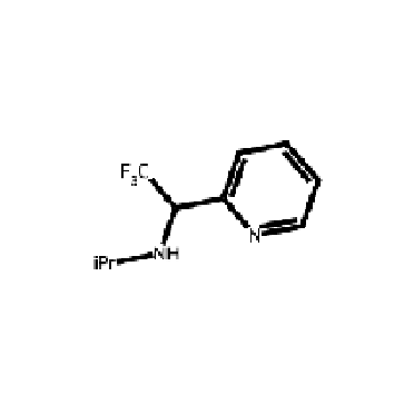 CC(C)NC(c1ccccn1)C(F)(F)F